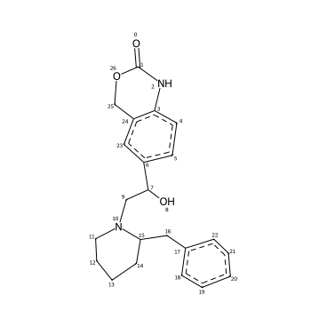 O=C1Nc2ccc(C(O)CN3CCCCC3Cc3ccccc3)cc2CO1